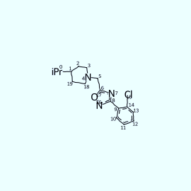 CC(C)C1CCN(Cc2nc(-c3ccccc3Cl)no2)CC1